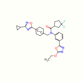 CCOc1nnc(-c2cccc(N(CC34CCC(c5nc(C6CC6)no5)(CC3)CC4)C(=O)C3CCC(F)(F)C3)c2)o1